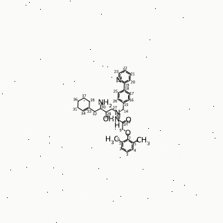 Cc1cccc(C)c1OCC(=O)NN(Cc1ccc(-c2ccccn2)cc1)CC(O)C(N)CC1=CCCCC1